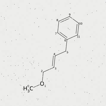 COC/C=C/Cc1ccccc1